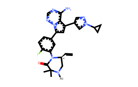 C=C[C@H]1CN(C(C)=O)C(C)(C)C(=O)N1c1cc(-c2cc(-c3cnn(C4CC4)c3)c3c(N)ncnn23)ccc1F